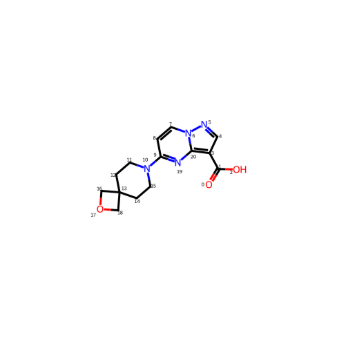 O=C(O)c1cnn2ccc(N3CCC4(CC3)COC4)nc12